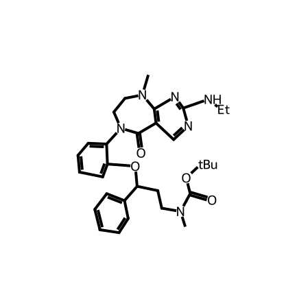 CCNc1ncc2c(n1)N(C)CCN(c1ccccc1OC(CCN(C)C(=O)OC(C)(C)C)c1ccccc1)C2=O